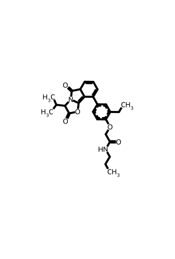 CCCNC(=O)COc1ccc(C2=CC=CC3C(=O)N4C(=C23)OC(=O)C4C(C)C)cc1CC